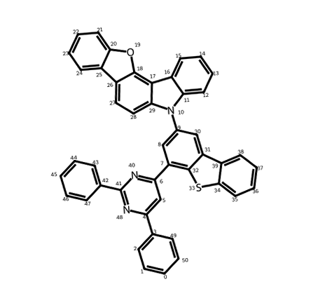 c1ccc(-c2cc(-c3cc(-n4c5ccccc5c5c6oc7ccccc7c6ccc54)cc4c3sc3ccccc34)nc(-c3ccccc3)n2)cc1